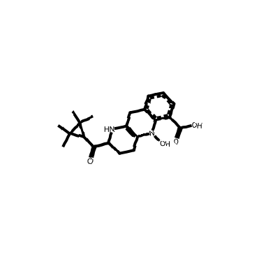 CC1(C)C(C(=O)C2CCC3=C(Cc4cccc(C(=O)O)c4N3O)N2)C1(C)C